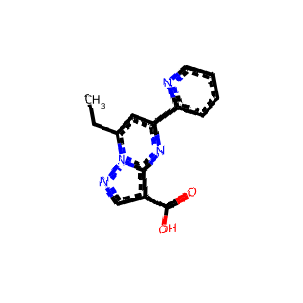 CCc1cc(-c2ccccn2)nc2c(C(=O)O)cnn12